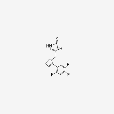 Fc1cc(F)c(C2=CCCC2Cc2c[nH]c(=S)[nH]2)cc1F